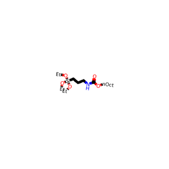 [CH2]CCCCCCCOC(=O)NCCC[Si](OCC)(OCC)OCC